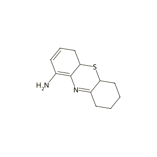 NC1=C2N=C3CCCCC3SC2CC=C1